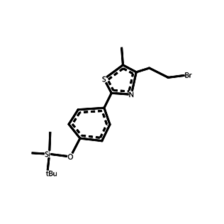 Cc1sc(-c2ccc(O[Si](C)(C)C(C)(C)C)cc2)nc1CCBr